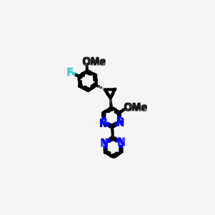 COc1cc([C@@H]2C[C@H]2c2cnc(-c3ncccn3)nc2OC)ccc1F